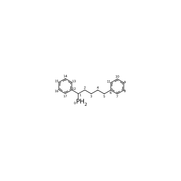 PC(CCCCc1ccccc1)c1ccccc1